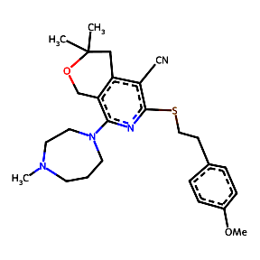 COc1ccc(CCSc2nc(N3CCCN(C)CC3)c3c(c2C#N)CC(C)(C)OC3)cc1